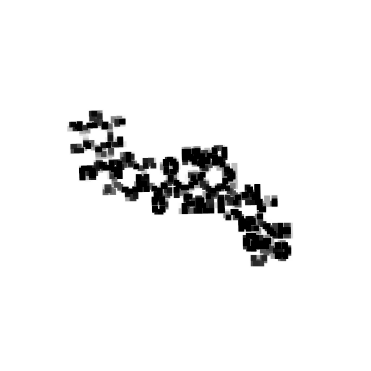 COc1cnc(-c2cnc(NS(C)(=O)=O)cn2)c2[nH]cc(C(=O)C(=O)N3CCN(C(=O)c4ccccc4)CC3)c12